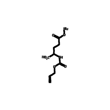 C=CCOC(=O)NC(CCC(=O)OC(C)(C)C)C(=O)O